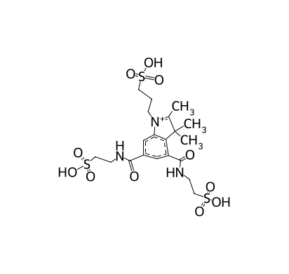 CC1=[N+](CCCS(=O)(=O)O)c2cc(C(=O)NCCS(=O)(=O)O)cc(C(=O)NCCS(=O)(=O)O)c2C1(C)C